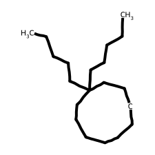 CCCCCC1(CCCCC)CCCCCCCCC1